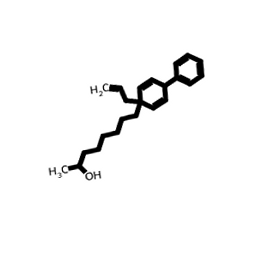 C=CCC1(CCCCCCC(C)O)C=CC(c2ccccc2)C=C1